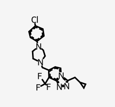 FC(F)(F)c1c(CN2CCN(c3ccc(Cl)cc3)CC2)ccn2c(CC3CC3)nnc12